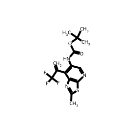 C=C(c1c(NC(=O)OC(C)(C)C)cnc2sc(C)nc12)C(F)(F)F